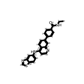 CCNC(=O)c1ccc(-c2ccc3c(Nc4ccc5scnc5c4)ccnc3c2)cc1